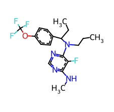 CCCN(c1ncnc(NC)c1F)C(CC)c1ccc(OC(F)(F)F)cc1